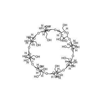 OCC[C@H]1OC2O[C@H]3[C@H](O)[C@@H](O)C(O[C@H]4[C@H](O)[C@@H](O)C(O[C@H]5[C@H](O)[C@@H](O)C(O[C@H]6[C@H](O)[C@@H](O)C(O[C@H]7[C@H](O)[C@@H](O)C(O[C@H]8[C@H](O)[C@@H](O)C(O[C@H]9[C@H](O)[C@@H](O)C(O[C@H]1[C@H](O)[C@H]2O)O[C@@H]9CO)O[C@@H]8CO)O[C@@H]7CO)O[C@@H]6CO)O[C@@H]5CO)O[C@@H]4CO)O[C@@H]3CO